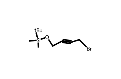 CC(C)(C)[Si](C)(C)OCC#CCBr